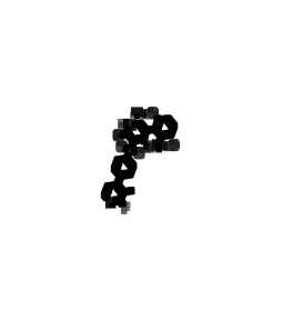 COc1cccc(OC)c1-c1c[nH]c(=O)c(S(=O)(=O)c2ccc(-c3ccnc(F)c3C)cc2)c1O